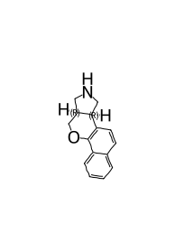 c1ccc2c3c(ccc2c1)[C@@H]1CNC[C@@H]1CO3